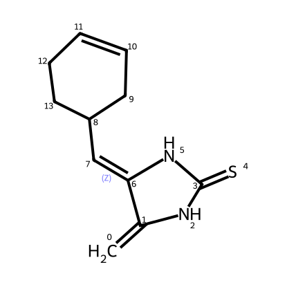 C=c1[nH]c(=S)[nH]/c1=C\C1CC=CCC1